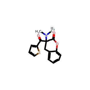 CN(C)C1(C(=O)c2cccs2)Cc2ccccc2OC1=O